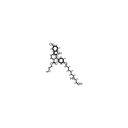 COCCOC(=O)N1CCc2c([nH]c3ccc(Cl)cc23)C1c1ccc(OCCCCCCNCCO)cc1